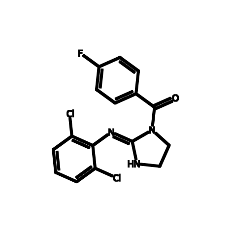 O=C(c1ccc(F)cc1)N1CCNC1=Nc1c(Cl)cccc1Cl